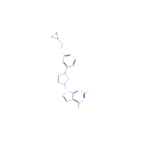 Clc1nc(Cl)c2ccn(C3CCC(c4ccnc(OCC5CC5)c4)C3)c2n1